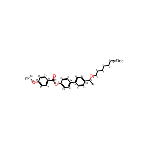 CCCCCCCCCCCCCCCCOC(C)c1ccc(-c2ccc(OC(=O)c3ccc(OCCC)cc3)cc2)cc1